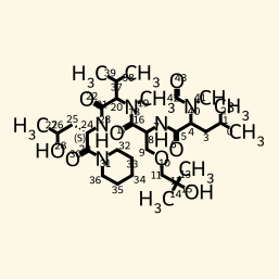 CC(C)CC(C(=O)NC(COCC(C)(C)O)C(=O)N(C)C(C(=O)N[C@@H](CC(C)O)C(=O)N1CCCCC1)C(C)C)N(C)C=O